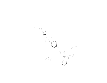 CCCCC(CC)C(=O)O[C@@H](CNCCc1ccc(NC(=O)Cc2nc(N)cs2)cc1)c1ccccc1.Cl.Cl